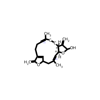 C=C1OC2C=C1CC/C=C(\C)CC[C@@H]1C(=C)C(O)O[C@H]1/C=C(\C)C2